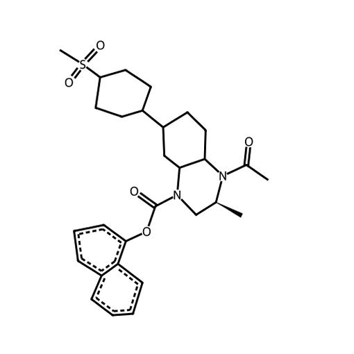 CC(=O)N1C2CCC(C3CCC(S(C)(=O)=O)CC3)CC2N(C(=O)Oc2cccc3ccccc23)C[C@@H]1C